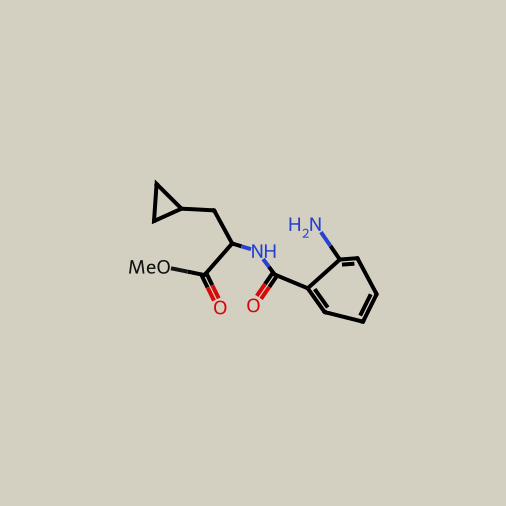 COC(=O)C(CC1CC1)NC(=O)c1ccccc1N